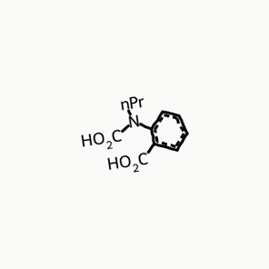 CCCN(C(=O)O)c1ccccc1C(=O)O